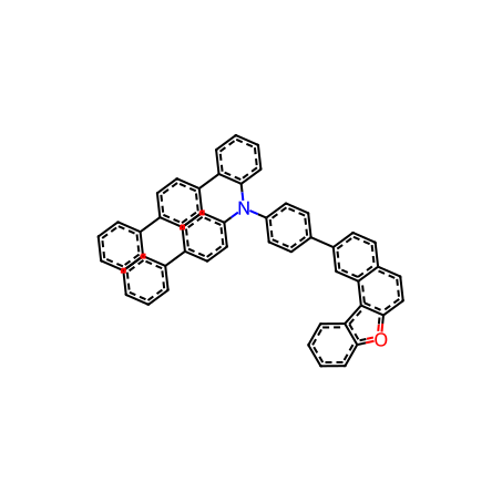 c1ccc(-c2ccc(-c3ccccc3N(c3ccc(-c4ccccc4)cc3)c3ccc(-c4ccc5ccc6oc7ccccc7c6c5c4)cc3)cc2)cc1